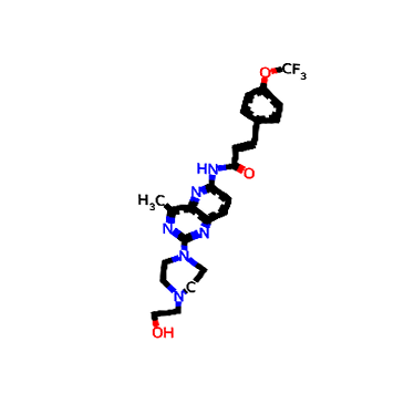 Cc1nc(N2CCN(CCO)CC2)nc2ccc(NC(=O)C=Cc3ccc(OC(F)(F)F)cc3)nc12